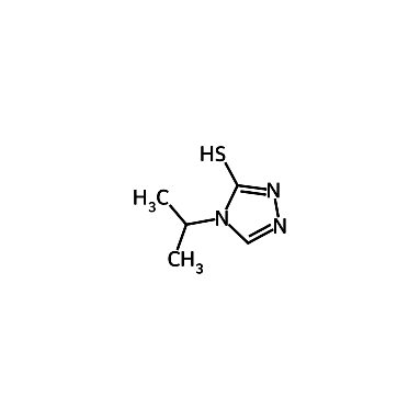 CC(C)n1cnnc1S